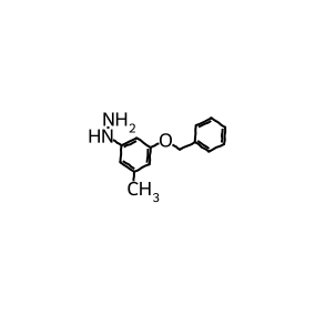 Cc1cc(NN)cc(OCc2ccccc2)c1